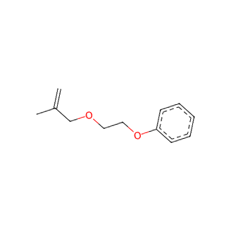 C=C(C)COCCOc1ccccc1